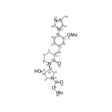 COc1cc(/C=C2\CCCN([C@H]3CN(C(=O)OC(C)(C)C)C[C@@H]3O)C2=O)ccc1-n1cnc(C)c1